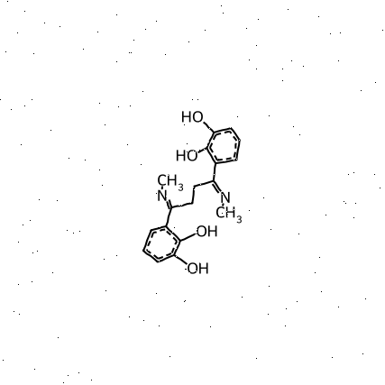 CN=C(CCC(=NC)c1cccc(O)c1O)c1cccc(O)c1O